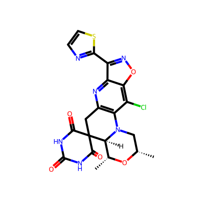 C[C@H]1CN2c3c(nc4c(-c5nccs5)noc4c3Cl)CC3(C(=O)NC(=O)NC3=O)[C@@H]2[C@@H](C)O1